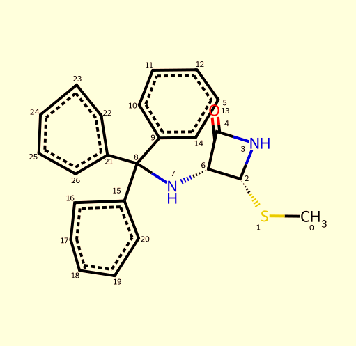 CS[C@H]1NC(=O)[C@H]1NC(c1ccccc1)(c1ccccc1)c1ccccc1